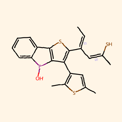 C/C=C(/C=C(/C)S)c1sc2c3ccccc3p(O)c2c1-c1cc(C)sc1C